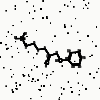 CN(C)CCCCC(=O)COc1ccccc1